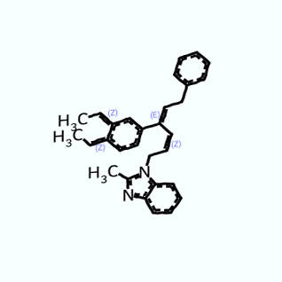 C/C=c1/ccc(C(/C=C\Cn2c(C)nc3ccccc32)=C/Cc2ccccc2)c/c1=C/C